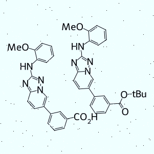 COc1ccccc1Nc1nc2ccc(-c3cccc(C(=O)O)c3)cn2n1.COc1ccccc1Nc1nc2ccc(-c3cccc(C(=O)OC(C)(C)C)c3)cn2n1